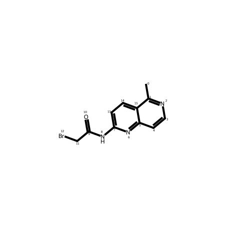 Cc1nccc2nc(NC(=O)CBr)ccc12